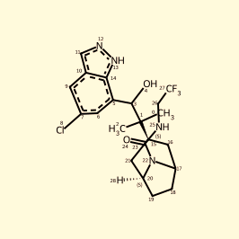 CC(C)(C(O)c1cc(Cl)cc2cn[nH]c12)[C@H]1CC2CC[C@@H](C1)N2C(=O)NCC(F)(F)F